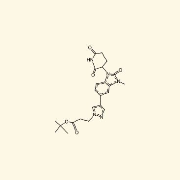 Cn1c(=O)n(C2CCC(=O)NC2=O)c2ccc(-c3cnn(CCC(=O)OC(C)(C)C)c3)cc21